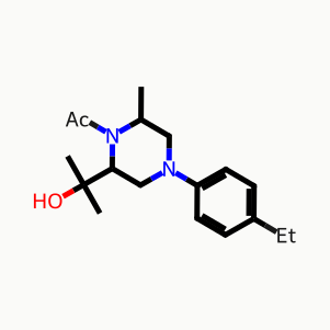 CCc1ccc(N2CC(C)N(C(C)=O)C(C(C)(C)O)C2)cc1